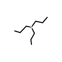 CC[CH2][In]([CH2]CC)[CH2]CC